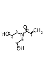 C=CC(=O)N(CCO)CCO